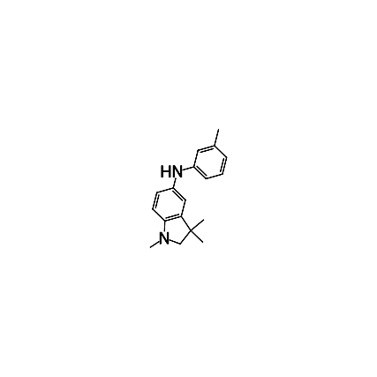 Cc1cccc(Nc2ccc3c(c2)C(C)(C)CN3C)c1